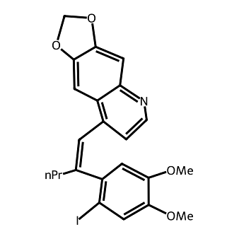 CCC/C(=C/c1ccnc2cc3c(cc12)OCO3)c1cc(OC)c(OC)cc1I